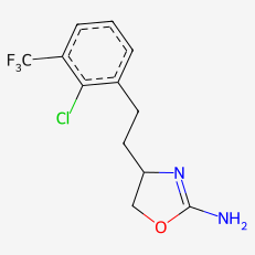 NC1=NC(CCc2cccc(C(F)(F)F)c2Cl)CO1